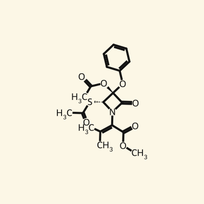 COC(=O)C(=C(C)C)N1C(=O)[C@@](OC(C)=O)(Oc2ccccc2)[C@H]1SC(C)=O